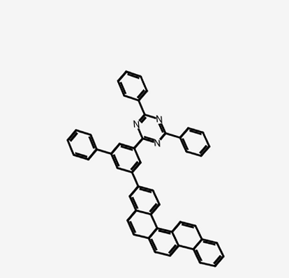 c1ccc(-c2cc(-c3ccc4c(ccc5ccc6c7ccccc7ccc6c54)c3)cc(-c3nc(-c4ccccc4)nc(-c4ccccc4)n3)c2)cc1